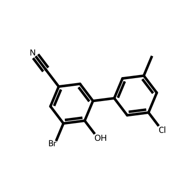 Cc1cc(Cl)cc(-c2cc(C#N)cc(Br)c2O)c1